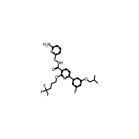 CC(C)COc1cc(F)cc(-c2ccc(C(=O)NSc3cccc(N)n3)c(OCCCC(F)(F)F)n2)c1